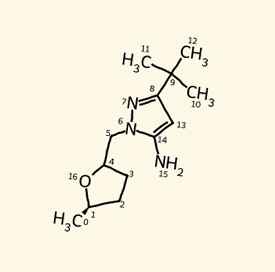 C[C@@H]1CCC(Cn2nc(C(C)(C)C)cc2N)O1